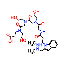 CNN(C)Cc1cc2ccccc2n1CCC(=O)NCC(=O)N(CCO)CC(=O)N(CCO)CC(=O)N(CCO)CCC(=O)O